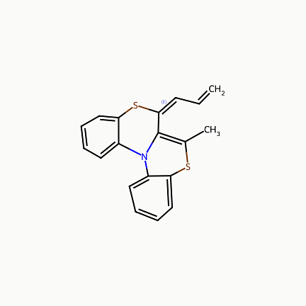 C=C/C=C1/Sc2ccccc2N2C1=C(C)Sc1ccccc12